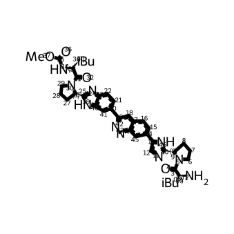 CC[C@@H](C)[C@H](N)C(=O)N1CCC[C@H]1c1ncc(-c2ccc3cc(-c4ccc5nc([C@@H]6CCCN6C(=O)[C@@H](NC(=O)OC)[C@H](C)CC)[nH]c5c4)nnc3c2)[nH]1